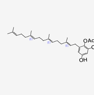 CC(=O)Oc1c(O)cc(O)cc1C/C=C(\C)CC/C=C(\C)CC/C=C(\C)CCC=C(C)C